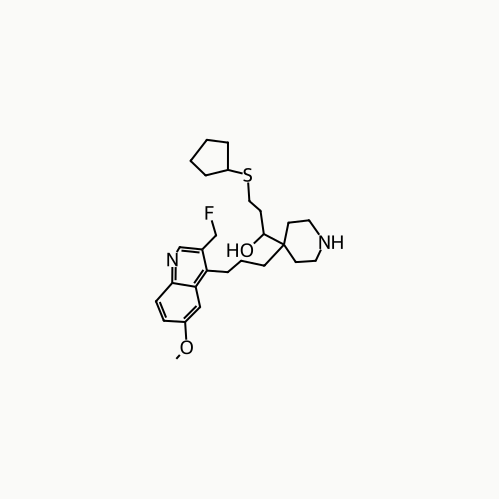 COc1ccc2ncc(CF)c(CCCC3(C(O)CCSC4CCCC4)CCNCC3)c2c1